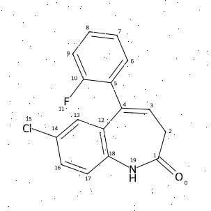 O=C1CC=C(c2ccccc2F)c2cc(Cl)ccc2N1